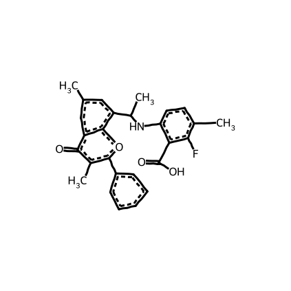 Cc1cc(C(C)Nc2ccc(C)c(F)c2C(=O)O)c2oc(-c3ccccc3)c(C)c(=O)c2c1